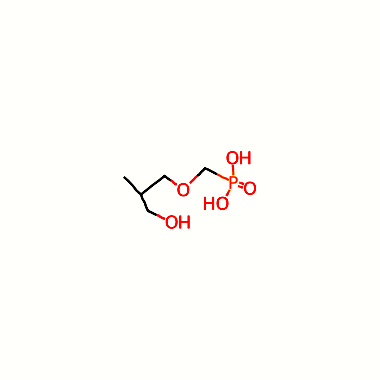 CC(CO)COCP(=O)(O)O